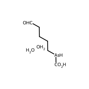 O.O.O=CCCCC[AsH]C(=O)O